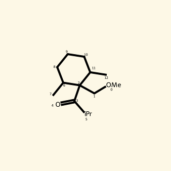 COCC1(C(=O)C(C)C)C(C)CCCC1C